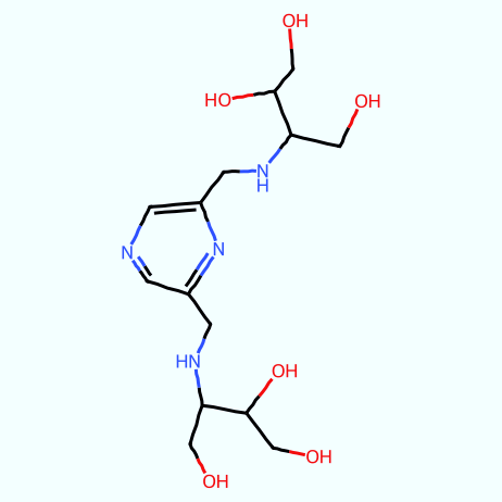 OCC(O)C(CO)NCc1cncc(CNC(CO)C(O)CO)n1